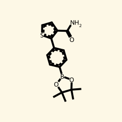 CC1(C)OB(c2ccc(-c3sccc3C(N)=O)cc2)OC1(C)C